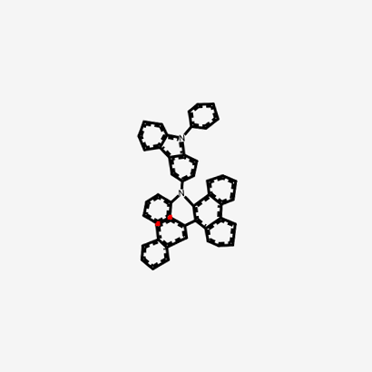 c1ccc(N(c2ccc3c(c2)c2ccccc2n3-c2ccccc2)c2c(-c3ccc4ccccc4c3)c3ccccc3c3ccccc23)cc1